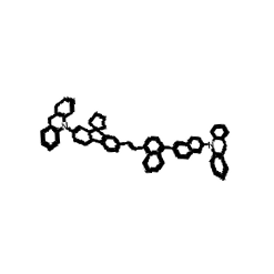 C1=CC2=C(CC1)Cc1ccccc1N2C1=CC2C(C=C1)c1ccc(/C=C/c3ccc(-c4ccc5cc(N6c7ccccc7Cc7ccccc76)ccc5c4)c4ccccc34)cc1C21CCCC1